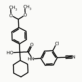 COC(OC)c1ccc(C(O)(C(=O)Nc2ccc(C#N)c(Cl)c2)C2CCCCC2)cc1